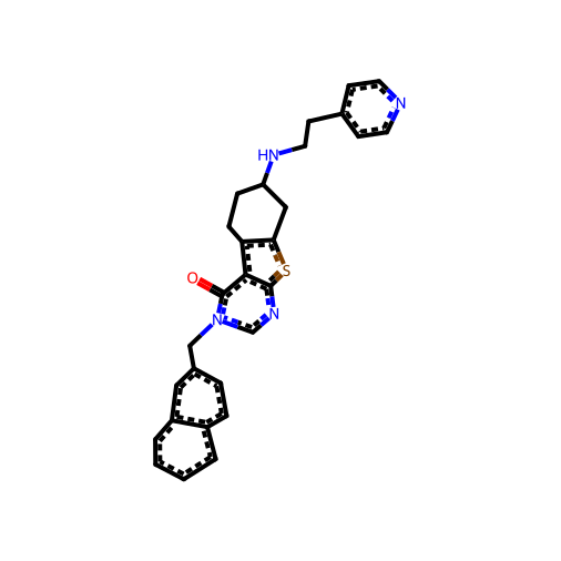 O=c1c2c3c(sc2ncn1Cc1ccc2ccccc2c1)CC(NCCc1ccncc1)CC3